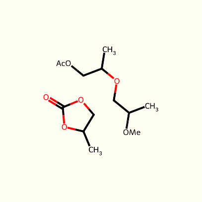 CC1COC(=O)O1.COC(C)COC(C)COC(C)=O